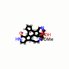 COC(=O)[C@@]1(O)CN2C=C3C1=C1c4c3c3c(c5c4/C(=C\C=N/[C@]1(C)O2)C1=CCNC(=O)C=51)=CC=C3